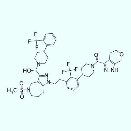 CS(=O)(=O)N1CCCc2c(c(C(O)N3CCC(c4ccccc4C(F)(F)F)CC3)nn2CCc2cccc(C3CCN(C(=O)c4n[nH]c5c4CCOC5)CC3)c2C(F)(F)F)C1